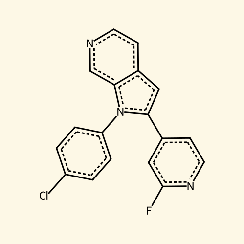 Fc1cc(-c2cc3ccncc3n2-c2ccc(Cl)cc2)ccn1